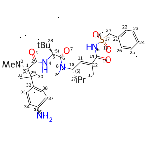 CN[C@H](C(=O)N[C@H](C(=O)N(C)[C@H](C=C(C)C(=O)NS(=O)(=O)Cc1ccccc1)C(C)C)C(C)(C)C)C(C)(C)c1ccc(N)cc1